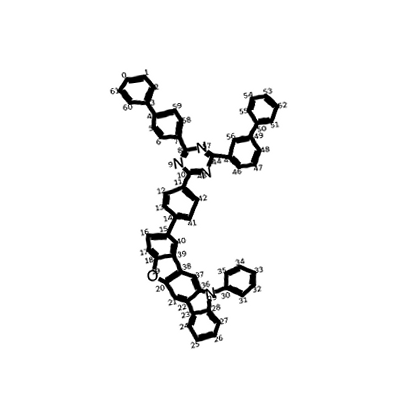 c1ccc(-c2ccc(-c3nc(-c4ccc(-c5ccc6oc7cc8c9ccccc9n(-c9ccccc9)c8cc7c6c5)cc4)nc(-c4cccc(-c5ccccc5)c4)n3)cc2)cc1